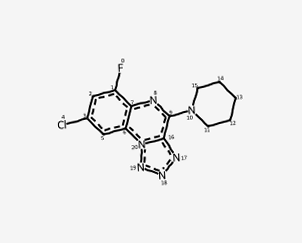 Fc1cc(Cl)cc2c1nc(N1CCCCC1)c1nnnn12